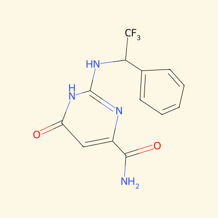 NC(=O)c1cc(=O)[nH]c(NC(c2ccccc2)C(F)(F)F)n1